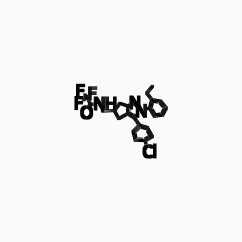 CCc1ccccc1-n1nc2c(c1-c1ccc(Cl)cc1)CC(CNC(=O)C(F)(F)F)C2